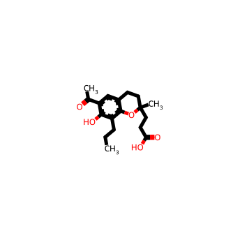 CCCc1c(O)c(C(C)=O)cc2c1OC(C)(CCC(=O)O)CC2